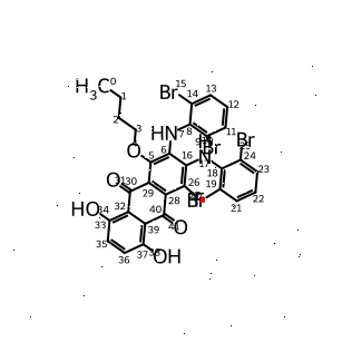 CCCCOc1c(Nc2c(Br)cccc2Br)c(Nc2c(Br)cccc2Br)c(F)c2c1C(=O)c1c(O)ccc(O)c1C2=O